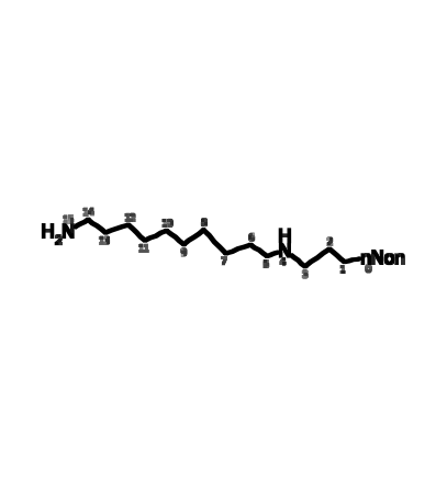 CCCCCCCCCCCCNCCCCCCCCCCN